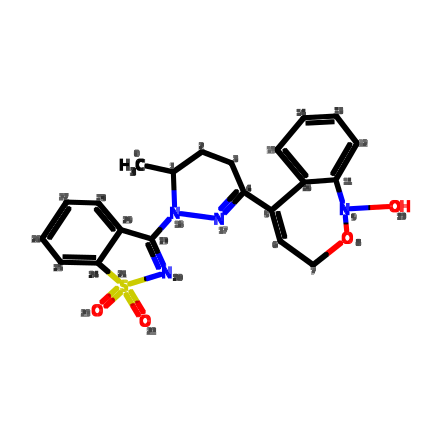 CC1CCC(C2=CCON(O)c3ccccc32)=NN1C1=NS(=O)(=O)c2ccccc21